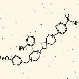 COc1ccc(CN2CCN(C3CC4(CCN(c5ccc(C(N)=O)cc5)CC4)C3)[C@@H](c3ccccc3C(C)C)C2)cc1